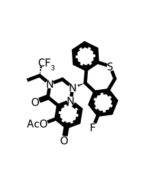 CC(=O)Oc1c2n(ccc1=O)N([C@H]1c3cc(F)ccc3CSc3ccccc31)CN([C@H](C)C(F)(F)F)C2=O